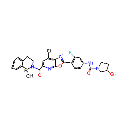 CCc1cc(C(=O)N2CCc3ccccc3[C@H]2C)nc2oc(-c3ccc(NC(=O)N4CCC(O)C4)cc3F)nc12